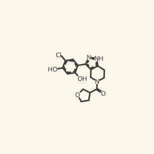 O=C(C1CCOC1)N1CCc2[nH]nc(-c3cc(Cl)c(O)cc3O)c2C1